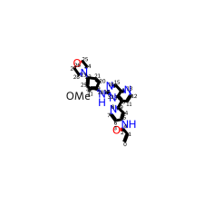 C=CC(=O)Nc1ccnc(-c2ccnc3cnc(Nc4ccc(N5CCOCC5)cc4OC)nc23)c1